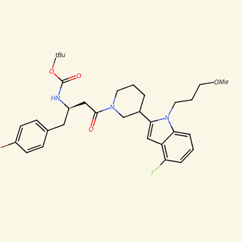 COCCCn1c(C2CCCN(C(=O)C[C@@H](Cc3ccc(Br)cc3)NC(=O)OC(C)(C)C)C2)cc2c(F)cccc21